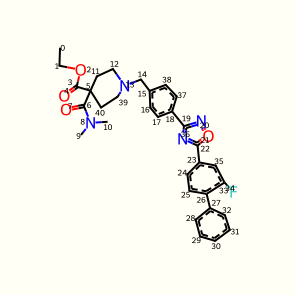 CCOC(=O)C1(C(=O)N(C)C)CCN(Cc2ccc(-c3noc(-c4ccc(-c5ccccc5)c(F)c4)n3)cc2)CC1